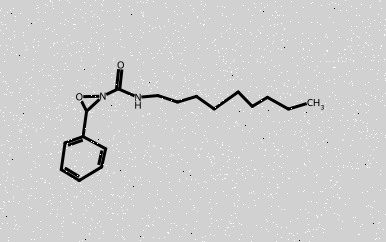 CCCCCCCCCNC(=O)N1OC1c1ccccc1